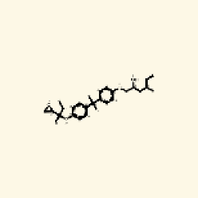 CCC(C)CC(O)COc1ccc(C(C)(C)c2ccc(OC(C)(CC)C3CO3)cc2)cc1